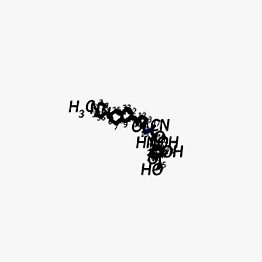 CN1CCN(c2ccc3cc(-c4ccc(/C=C(\C#N)C(=O)N[C@H]5CO[C@H](CO)[C@@H](O)[C@@H]5O)o4)ccc3c2)CC1